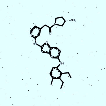 CCc1c(C)ccc(Nc2ccc3nc(Nc4cc(CC(=O)N5CC[C@H](N)C5)ccn4)sc3n2)c1CC